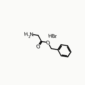 Br.NCC(=O)OCc1ccccc1